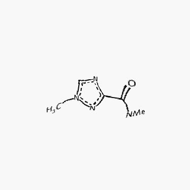 CNC(=O)c1ncn(C)n1